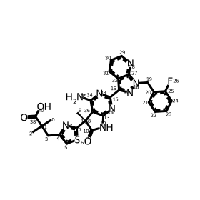 CC(C)(Cc1csc([C@@]2(C)C(=O)Nc3nc(-c4nn(Cc5ccccc5F)c5ncccc45)nc(N)c32)n1)C(=O)O